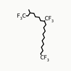 CC(CCCCC(CCCCCCCCCCC(F)(F)F)C(F)(F)F)CC(F)(F)F